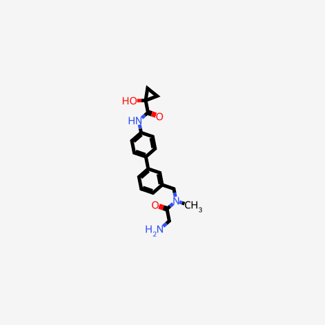 CN(Cc1cccc(-c2ccc(NC(=O)C3(O)CC3)cc2)c1)C(=O)CN